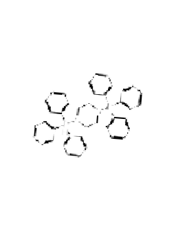 c1ccc([PH](c2ccccc2)(c2ccccc2)N2CCN([PH](c3ccccc3)(c3ccccc3)c3ccccc3)CC2)cc1